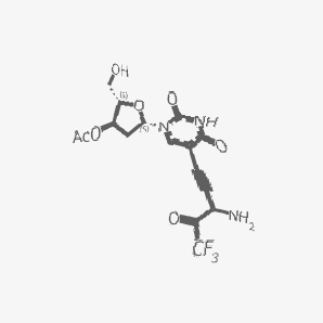 CC(=O)OC1C[C@@H](n2cc(C#CC(N)C(=O)C(F)(F)F)c(=O)[nH]c2=O)O[C@H]1CO